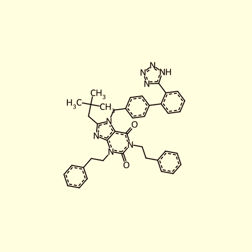 CC(C)(C)Cc1nc2c(c(=O)n(CCc3ccccc3)c(=O)n2CCc2ccccc2)n1Cc1ccc(-c2ccccc2-c2nnn[nH]2)cc1